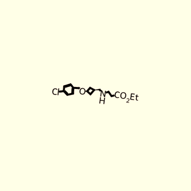 CCOC(=O)CCNC[C@H]1C[C@@H](OCc2ccc(Cl)cc2)C1